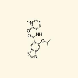 CC(C)Oc1cc2ncsc2cc1C(=O)Nc1cccn(C)c1=O